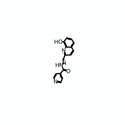 O=C(N/N=C/c1ccc2cccc(O)c2n1)c1ccncc1